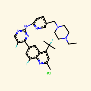 CCN1CCN(Cc2ccc(Nc3ncc(F)c(-c4cc(F)c5nc(C)cc(C(C)(C)F)c5c4)n3)nc2)CC1.Cl